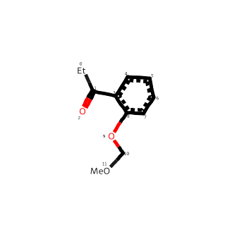 CCC(=O)c1ccccc1OCOC